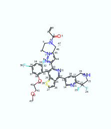 C=CC(=O)N1CCn2nc(-c3nc(-c4cnc5c(c4)CNCC5(F)F)c4ccsc4c3-c3c(F)cc(F)cc3OCCOC)cc2[C@H]1C